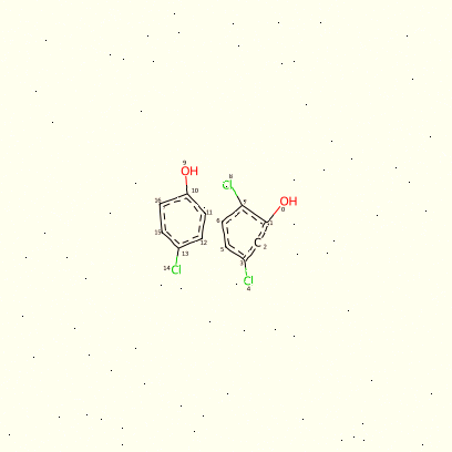 Oc1cc(Cl)ccc1Cl.Oc1ccc(Cl)cc1